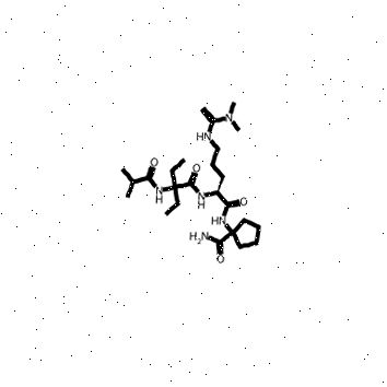 C=C(NCCC[C@H](NC(=O)C(CC)(CC)NC(=O)C(C)C)C(=O)NC1(C(N)=O)CCCC1)N(C)C